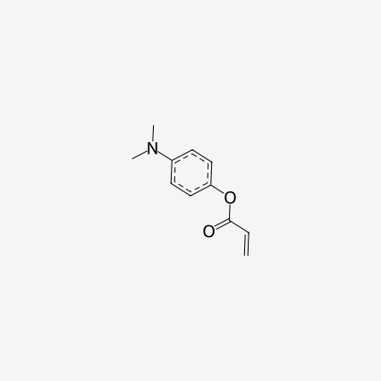 C=CC(=O)Oc1ccc(N(C)C)cc1